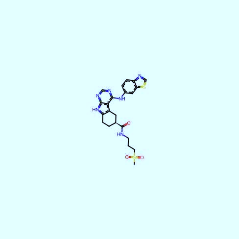 CS(=O)(=O)CCCNC(=O)[C@H]1CCc2[nH]c3ncnc(Nc4ccc5ncsc5c4)c3c2C1